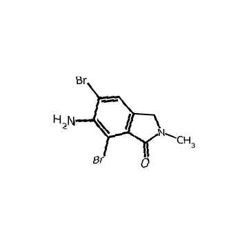 CN1Cc2cc(Br)c(N)c(Br)c2C1=O